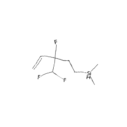 C=CC(F)(CC[SiH](C)C)C(F)F